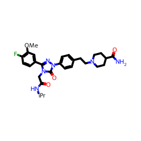 COc1cc(-c2nn(-c3ccc(CCN4CCC(C(N)=O)CC4)cc3)c(=O)n2CC(=O)NC(C)C)ccc1F